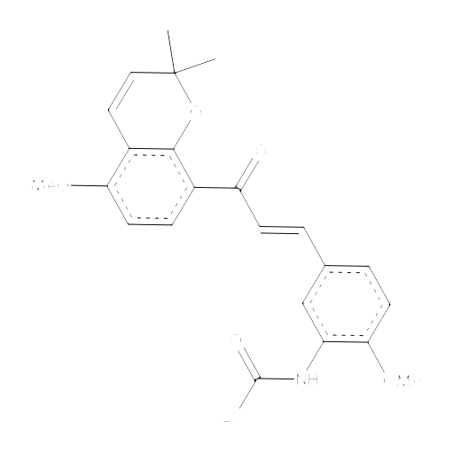 CCC(=O)Nc1cc(C=CC(=O)c2ccc(OC)c3c2OC(C)(C)C=C3)ccc1OC